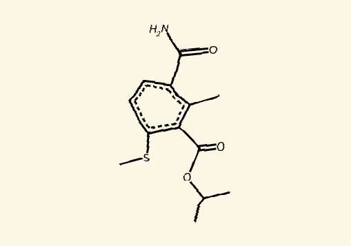 CSc1ccc(C(N)=O)c(C)c1C(=O)OC(C)C